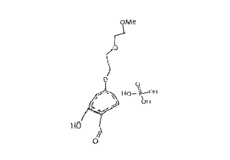 COCCOCCOc1ccc(I=O)c(O)c1.O=P(O)(O)O